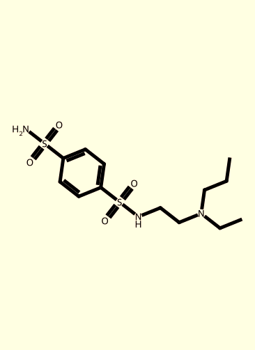 CCCN(CC)CCNS(=O)(=O)c1ccc(S(N)(=O)=O)cc1